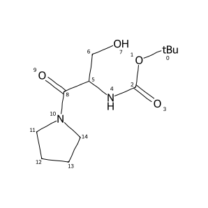 CC(C)(C)OC(=O)NC(CO)C(=O)N1CCCC1